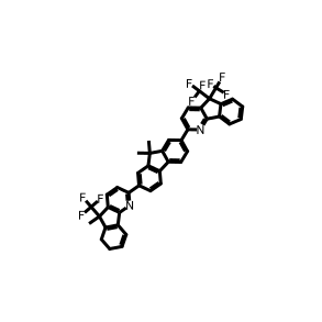 CC1(C)c2cc(-c3ccc4c(n3)C3=C(CCC=C3)C4(C)C(F)(F)F)ccc2-c2ccc(-c3ccc4c(n3)-c3ccccc3C4(C(F)(F)F)C(F)(F)F)cc21